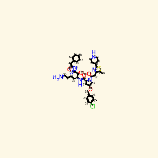 Cc1sc(C2CCNCC2)nc1CC(=O)N1C[C@H](OCc2ccc(Cl)cc2)C[C@H]1C(=O)N[C@@H](CCCCN)C(=O)c1noc(CC2CCCCC2)n1